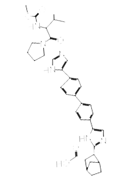 COC(=O)NC(C(=O)N1CCC[C@H]1c1ncc(-c2ccc(-c3ccc(-c4cnc([C@H]5C6CCC(C6)[C@@H]5C(=O)O)[nH]4)cc3)cc2)[nH]1)C(C)C